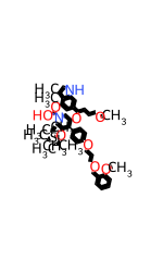 COCCCC(O[C@H]1CN(C(=O)O)C[C@@H](O[Si](C(C)C)(C(C)C)C(C)C)[C@@H]1c1ccc(OCCCOCc2ccccc2OC)cc1)c1ccc2c(c1)NCC2(C)C